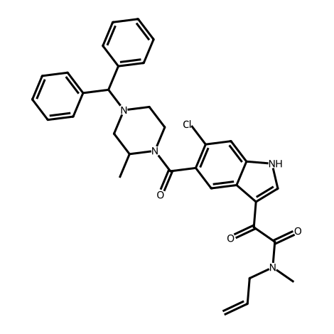 C=CCN(C)C(=O)C(=O)c1c[nH]c2cc(Cl)c(C(=O)N3CCN(C(c4ccccc4)c4ccccc4)CC3C)cc12